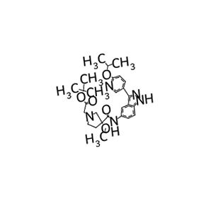 CO[C@@]1(C(=O)Nc2ccc3[nH]nc(-c4ccc(OC(C)C)nc4)c3c2)CCN(CC(=O)OC(C)(C)C)C1